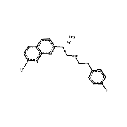 Cl.Cl.Nc1ccc2ccc(CCNCCc3ccc(F)cc3)cc2n1